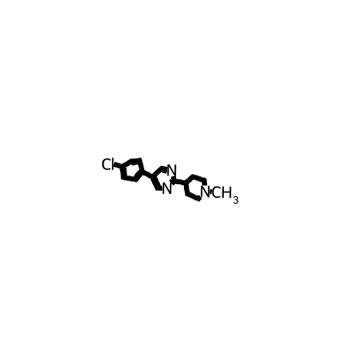 CN1CCC(c2ncc(-c3ccc(Cl)cc3)cn2)CC1